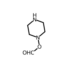 O=CON1CCNCC1